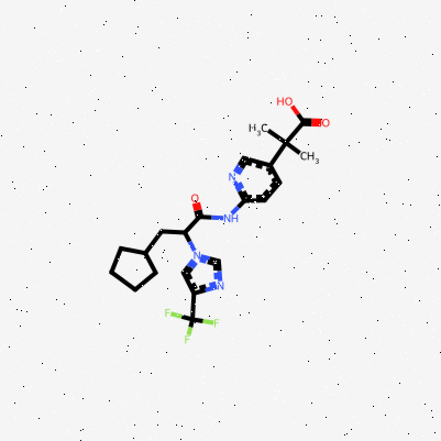 CC(C)(C(=O)O)c1ccc(NC(=O)C(CC2CCCC2)n2cnc(C(F)(F)F)c2)nc1